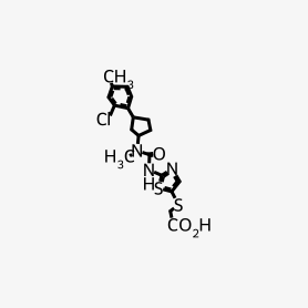 Cc1ccc(C2CCC(N(C)C(=O)Nc3ncc(SCC(=O)O)s3)C2)c(Cl)c1